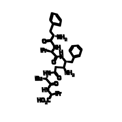 CC[C@H](C)[C@H](NC(=O)C[C@H](N)[C@H](Cc1ccccc1)NC(=O)[C@H](NC(=O)[C@@H](N)Cc1ccccc1)C(C)C)C(=O)N[C@H](C(=O)O)C(C)C